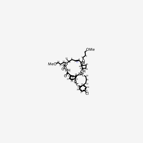 COCCCOC1/C=C/C[C@H](C)N(CCCOC)S(=O)(=O)NC(=O)c2ccc3c(c2)N(CCCCc2cc(Cl)ccc2CO3)C[C@@H]2CC[C@@H]12